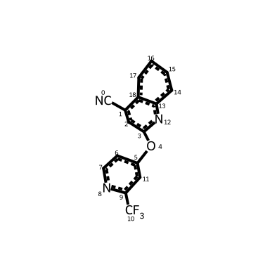 N#Cc1cc(Oc2ccnc(C(F)(F)F)c2)nc2ccccc12